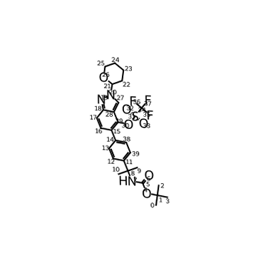 CC(C)(C)OC(=O)NC(C)(C)c1ccc(-c2ccc3nn(C4CCCCO4)cc3c2OS(=O)(=O)C(F)(F)F)cc1